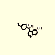 C=CC1=CNC(C(O)c2ccnc3ccc(O)cc23)CC1